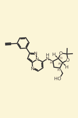 C#Cc1cccc(-c2cc3nccc(N[C@@H]4C[C@H](CO)[C@H]5OC(C)(C)O[C@H]54)n3n2)c1